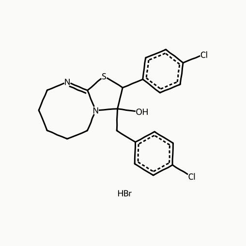 Br.OC1(Cc2ccc(Cl)cc2)C(c2ccc(Cl)cc2)S/C2=N/CCCCCN21